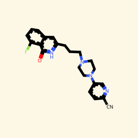 N#Cc1ccc(N2CCN(CCCc3cc4cccc(F)c4c(=O)[nH]3)CC2)cn1